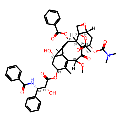 CO[C@H]1C(=O)[C@]2(C)[C@@H](OC(=O)N(C)C)C[C@H]3OC[C@@]3(OC(C)=O)[C@H]2[C@]2(OC(=O)c3ccccc3)C[C@@]3(C)C1=C(C)[C@@H](OC(=O)[C@H](O)[C@@H](NC(=O)c1ccccc1)c1ccccc1)C[C@]32O